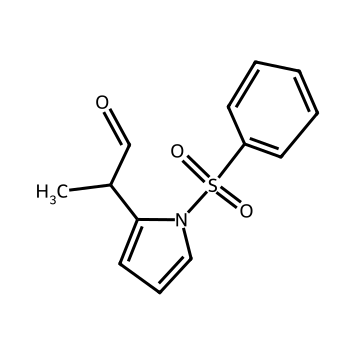 CC(C=O)c1cccn1S(=O)(=O)c1ccccc1